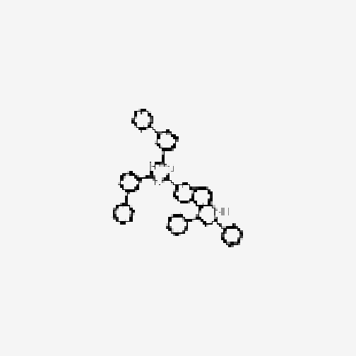 C1=C(c2ccccc2)c2c(ccc3cc(-c4nc(-c5cccc(-c6ccccc6)c5)nc(-c5cccc(-c6ccccc6)c5)n4)ccc23)NC1c1ccccc1